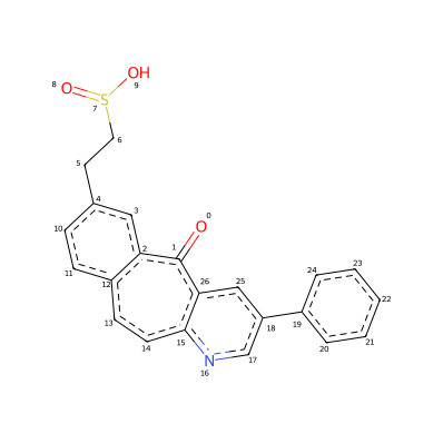 O=c1c2cc(CCS(=O)O)ccc2ccc2ncc(-c3ccccc3)cc12